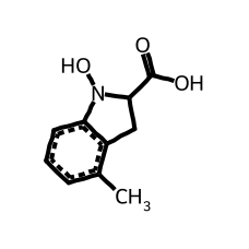 Cc1cccc2c1CC(C(=O)O)N2O